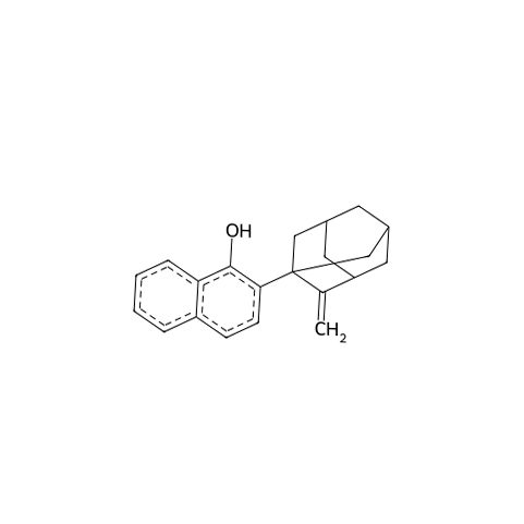 C=C1C2CC3CC(C2)CC1(c1ccc2ccccc2c1O)C3